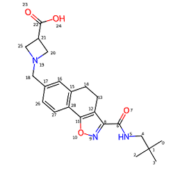 CC(C)(C)CNC(=O)c1noc2c1CCc1cc(CN3CC(C(=O)O)C3)ccc1-2